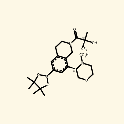 CC1(C)OB(c2cc3c(c([C@@H]4COCCN4C(=O)O)c2)CN(C(=O)[C@](C)(O)C(F)(F)F)CC3)OC1(C)C